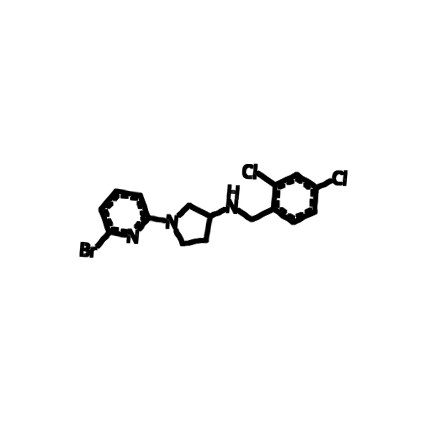 Clc1ccc(CNC2CCN(c3cccc(Br)n3)C2)c(Cl)c1